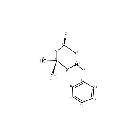 C[C@@]1(O)C[C@@H](F)CN(Cc2ccccc2)C1